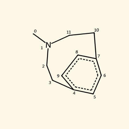 CN1CCc2ccc(cc2)CC1